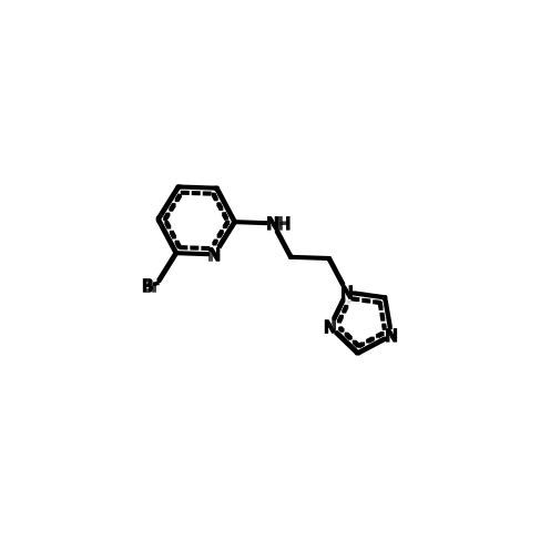 Brc1cccc(NCCn2cncn2)n1